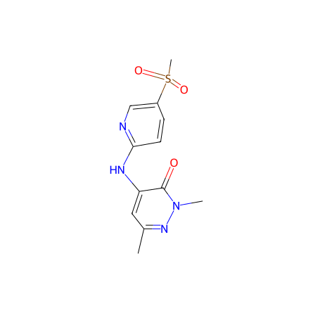 Cc1cc(Nc2ccc(S(C)(=O)=O)cn2)c(=O)n(C)n1